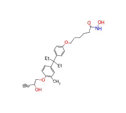 CCC(CC)(c1ccc(OCCCCCC(=O)NO)cc1)c1ccc(OCC(O)C(C)(C)C)c(C)c1